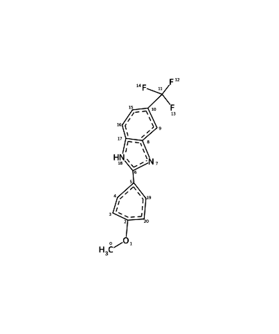 COc1ccc(-c2nc3cc(C(F)(F)F)ccc3[nH]2)cc1